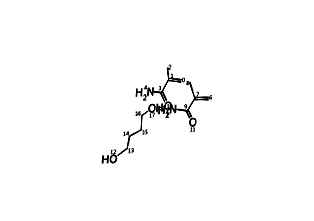 C=C(C)C(N)=O.C=C(C)C(N)=O.OCCCCO